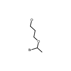 CC(Br)OCCC[O]